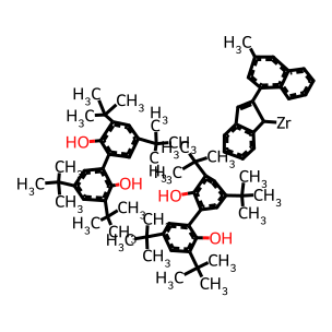 CC(C)(C)c1cc(-c2cc(C(C)(C)C)cc(C(C)(C)C)c2O)c(O)c(C(C)(C)C)c1.CC(C)(C)c1cc(-c2cc(C(C)(C)C)cc(C(C)(C)C)c2O)c(O)c(C(C)(C)C)c1.Cc1cc(C2=Cc3ccccc3[CH]2[Zr])c2ccccc2c1